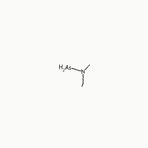 CN(C)[AsH2]